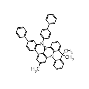 Cc1cc2c3c(c1)N1c4ccccc4C(C)(C)c4cccc(c41)B3N(c1ccc(-c3ccccc3)cc1)c1cc(-c3ccccc3)ccc1-2